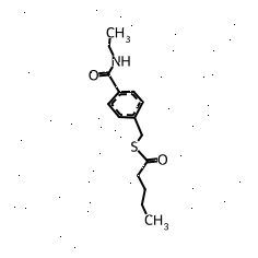 CCCCC(=O)SCc1ccc(C(=O)NCC)cc1